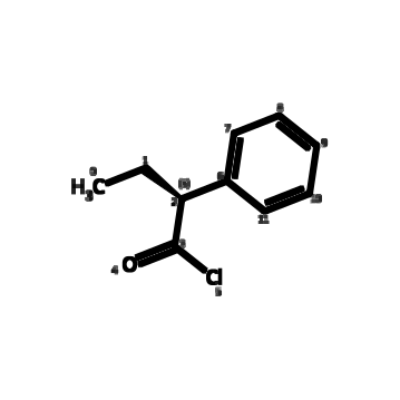 CC[C@H](C(=O)Cl)c1ccccc1